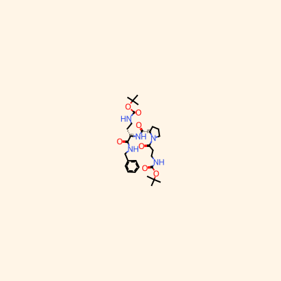 CC(C)(C)OC(=O)NCCC(=O)N1CCC[C@H]1C(=O)N[C@@H](CCNC(=O)OC(C)(C)C)C(=O)NCc1ccccc1